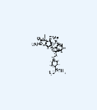 COc1cc(-c2nc(CCN3CCC(N(C)C)CC3)n3ccnc(N)c23)ccc1NC(=O)OC(C)(C)C